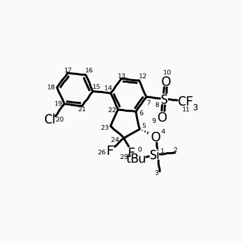 CC(C)(C)[Si](C)(C)O[C@H]1c2c(S(=O)(=O)C(F)(F)F)ccc(-c3cccc(Cl)c3)c2CC1(F)F